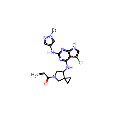 C=CC(=O)N1CC(Nc2nc(Nc3cnn(CC)c3)nc3[nH]cc(Cl)c23)C2(CC2)C1